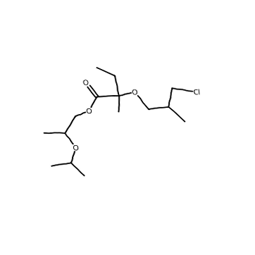 CCC(C)(OCC(C)CCl)C(=O)OCC(C)OC(C)C